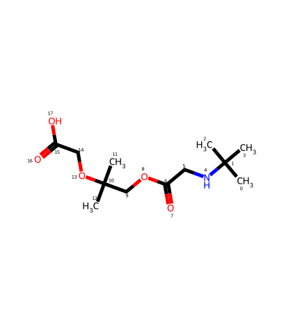 CC(C)(C)NCC(=O)OCC(C)(C)OCC(=O)O